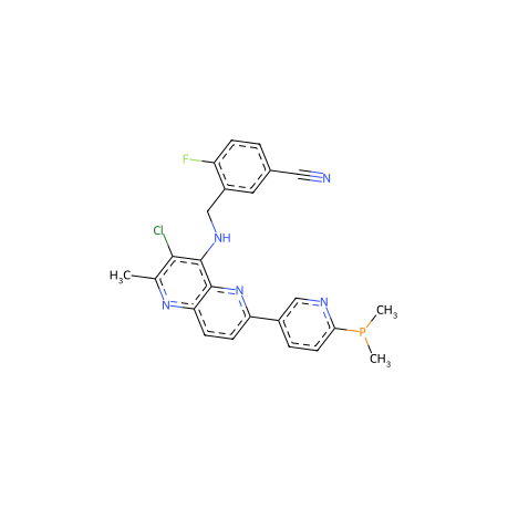 Cc1nc2ccc(-c3ccc(P(C)C)nc3)nc2c(NCc2cc(C#N)ccc2F)c1Cl